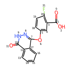 O=C(O)c1cc(Oc2n[nH]c(=O)c3ccccc23)ccc1F